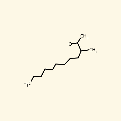 CCCCCCCCCC(C)C(C)[O]